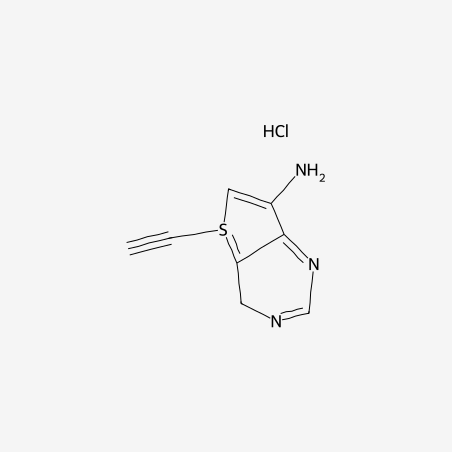 C#CS1=C2CN=CN=C2C(N)=C1.Cl